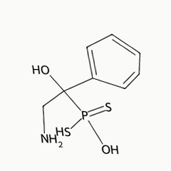 NCC(O)(c1ccccc1)P(O)(=S)S